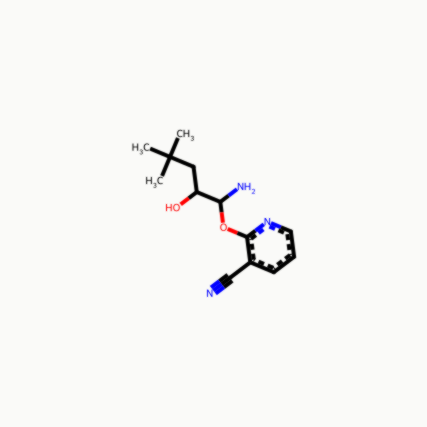 CC(C)(C)CC(O)C(N)Oc1ncccc1C#N